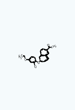 CCOc1ccc(Oc2ccc3cc(C(C)=O)ccc3c2)c(Cl)c1